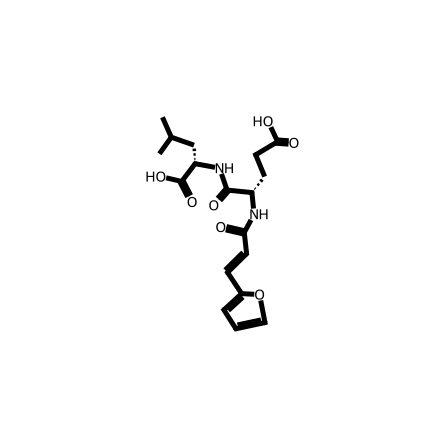 CC(C)C[C@H](NC(=O)[C@H](CCC(=O)O)NC(=O)C=Cc1ccco1)C(=O)O